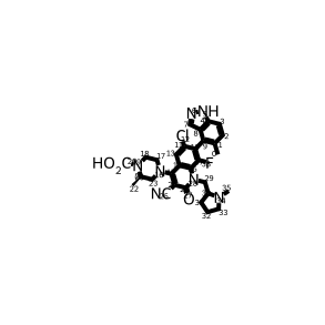 Cc1ccc2[nH]ncc2c1-c1c(Cl)cc2c(N3CCN(C(=O)O)[C@H](C)C3)c(C#N)c(=O)n(CC3CCCN3C)c2c1F